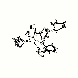 CC(C)(C)[C@H](c1nc(-c2ccccc2)cn1Cc1ccccc1)N(CC[C@@H](N)CO)C(=O)Cn1ncnn1